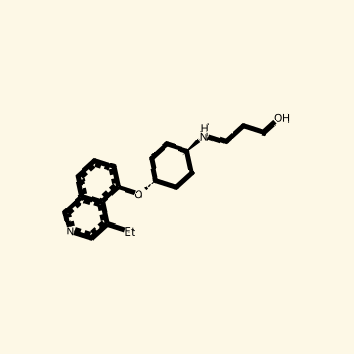 CCc1cncc2cccc(O[C@H]3CC[C@H](NCCCO)CC3)c12